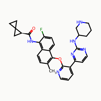 Cc1ccc2c(NC(=O)[C@H]3CC34CC4)c(F)ccc2c1Oc1ncccc1-c1ccnc(NC2CCCNC2)n1